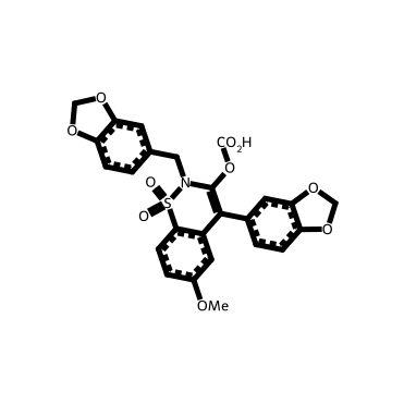 COc1ccc2c(c1)C(c1ccc3c(c1)OCO3)=C(OC(=O)O)N(Cc1ccc3c(c1)OCO3)S2(=O)=O